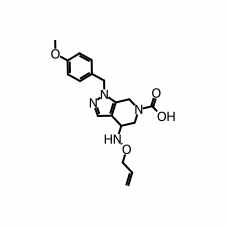 C=CCONC1CN(C(=O)O)Cc2c1cnn2Cc1ccc(OC)cc1